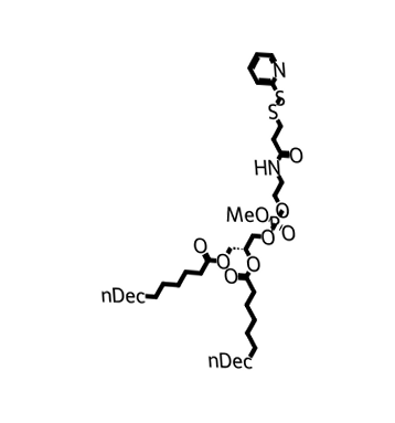 CCCCCCCCCCCCCCCC(=O)OC[C@H](COP(=O)(OC)OCCNC(=O)CCSSc1ccccn1)OC(=O)CCCCCCCCCCCCCCC